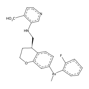 C[As](c1ccc2c(c1)OCC[C@H]2CNc1cnccc1C(=O)O)c1ccccc1F